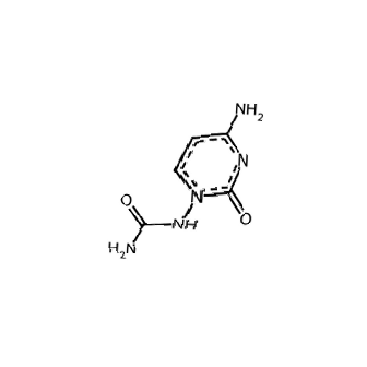 NC(=O)Nn1ccc(N)nc1=O